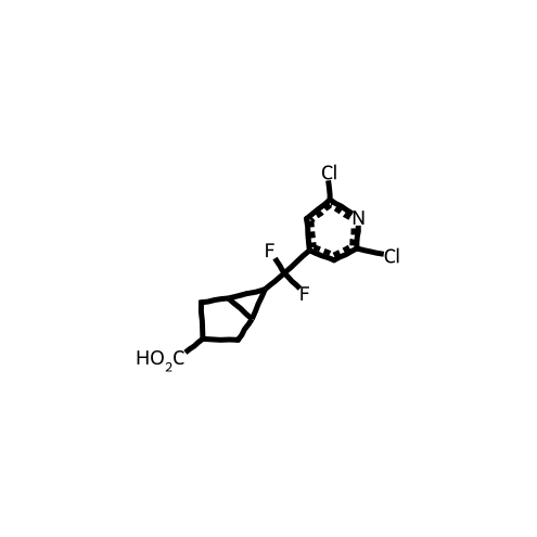 O=C(O)C1CC2C(C1)C2C(F)(F)c1cc(Cl)nc(Cl)c1